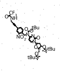 CC(C)(C)OC(=O)N(Cc1ccc(C#CCNC(=O)C(F)(F)F)cc1[N+](=O)[O-])c1ccn([C@H]2CC(O[Si](C)(C)C(C)(C)C)[C@@H](CO[Si](C)(C)C(C)(C)C)O2)c(=O)n1